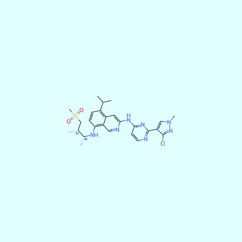 CC(C)c1ccc(N[C@H](C)[C@H](C)CS(C)(=O)=O)c2cnc(Nc3ccnc(-c4cn(C)nc4Cl)n3)cc12